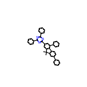 CC1(C)c2cc(-c3ccccc3)ccc2-c2c(-c3ccccc3)cc(-c3nc(-c4ccccc4)nc(-c4ccccc4)n3)cc21